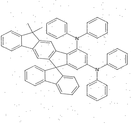 CC1(C)c2ccccc2-c2cc3c(cc21)-c1c(N(c2ccccc2)c2ccccc2)cc(N(c2ccccc2)c2ccccc2)cc1C31c2ccccc2-c2ccccc21